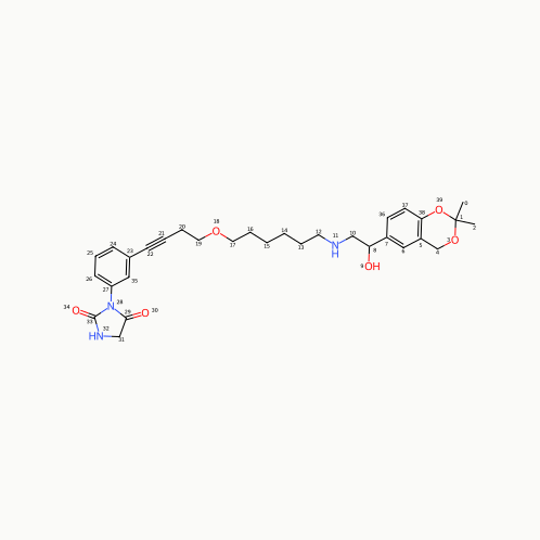 CC1(C)OCc2cc(C(O)CNCCCCCCOCCC#Cc3cccc(N4C(=O)CNC4=O)c3)ccc2O1